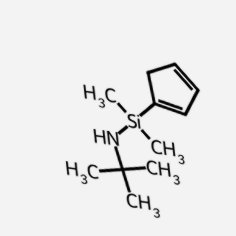 CC(C)(C)N[Si](C)(C)C1=CC=CC1